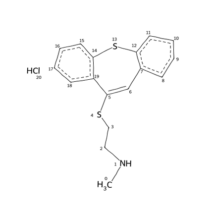 CNCCSC1=Cc2ccccc2Sc2ccccc21.Cl